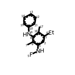 CCc1cc(NF)c(C)c(Nc2ccccc2)c1C